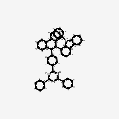 c1ccc(-c2nc(-c3ccccc3)nc(-c3ccc(-c4c(-c5cccc6c7ccccc7n(-c7ccccc7)c56)c5ccccc5c5ccccc45)cc3)n2)cc1